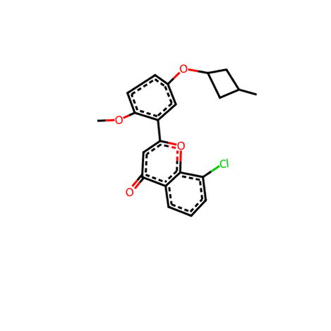 COc1ccc(OC2CC(C)C2)cc1-c1cc(=O)c2cccc(Cl)c2o1